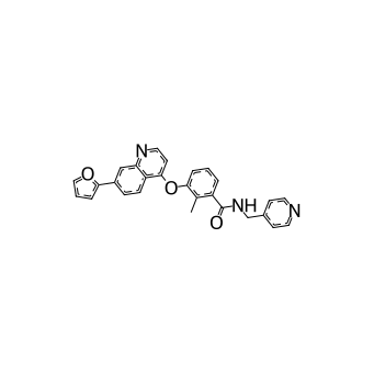 Cc1c(Oc2ccnc3cc(-c4ccco4)ccc23)cccc1C(=O)NCc1ccncc1